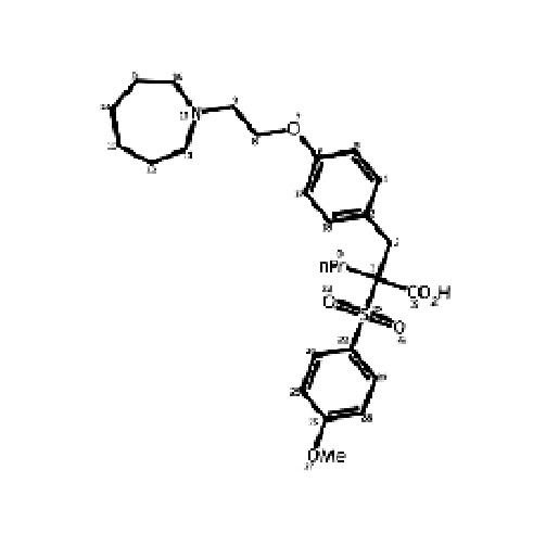 CCCC(Cc1ccc(OCCN2CCCCCC2)cc1)(C(=O)O)S(=O)(=O)c1ccc(OC)cc1